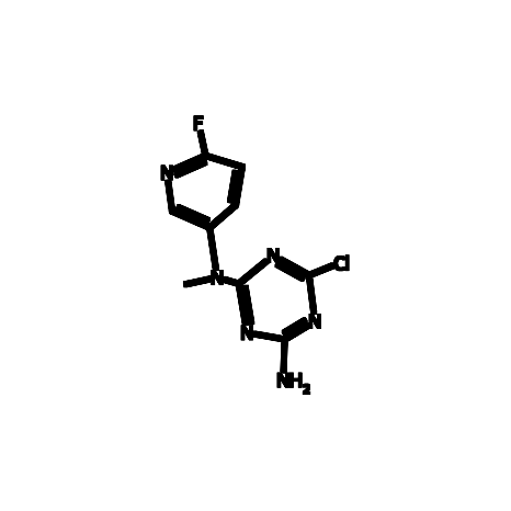 CN(c1ccc(F)nc1)c1nc(N)nc(Cl)n1